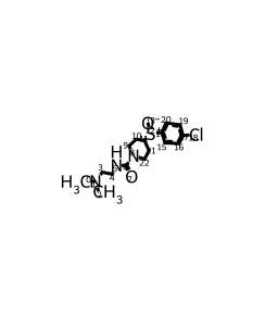 CN(C)CCNC(=O)N1CCC([S+]([O-])c2ccc(Cl)cc2)CC1